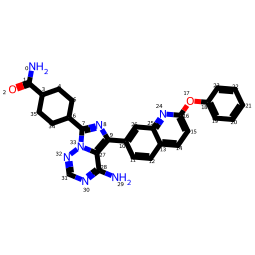 NC(=O)C1CCC(c2nc(-c3ccc4ccc(Oc5ccccc5)nc4c3)c3c(N)ncnn23)CC1